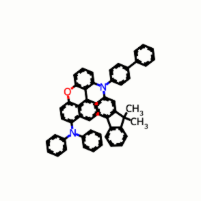 CC1(C)c2ccccc2-c2ccc(N(c3ccc(-c4ccccc4)cc3)c3cccc4c3-c3cccc5c(N(c6ccccc6)c6ccccc6)ccc(c35)O4)cc21